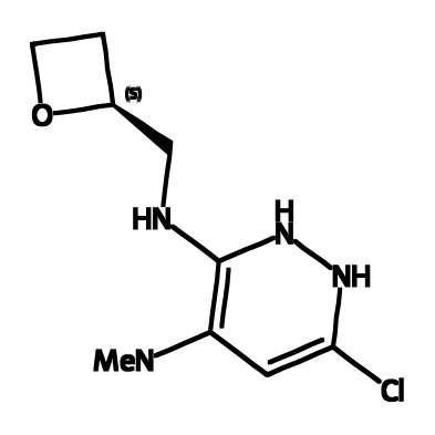 CNC1=C(NC[C@@H]2CCO2)NNC(Cl)=C1